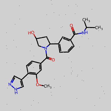 COc1cc(C(=O)N2CC(O)CC2c2cccc(C(=O)NC(C)C)c2)ccc1-c1cn[nH]c1